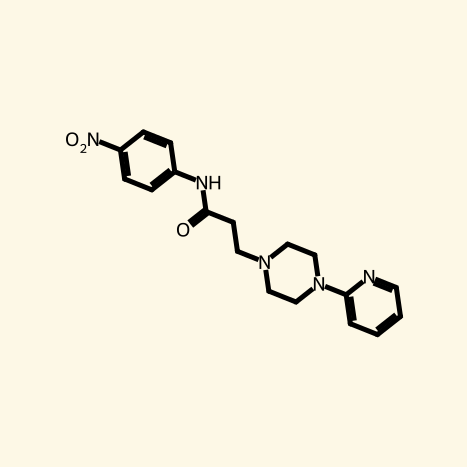 O=C(CCN1CCN(c2ccccn2)CC1)Nc1ccc([N+](=O)[O-])cc1